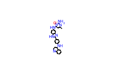 Cc1cc(Nc2ccc3[nH]c(-c4ccc(Nc5ccnc6ccccc56)cc4)nc3c2)[n+]([O-])c(N)n1